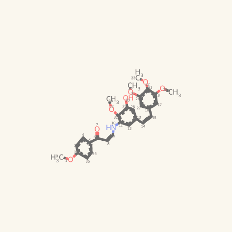 COc1ccc(C(=O)/C=C\Nc2cc(/C=C\c3cc(OC)c(OC)c(OC)c3)cc(O)c2OC)cc1